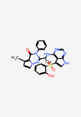 Cc1ccn2nc([C@H](C)Nc3ncnc4[nH]cc(S(=O)(=O)c5ccccc5O)c34)n(-c3ccccc3)c(=O)c12